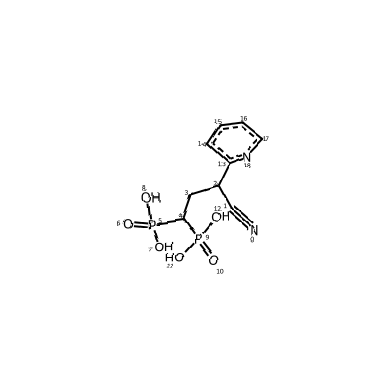 N#CC(CC(P(=O)(O)O)P(=O)(O)O)c1ccccn1